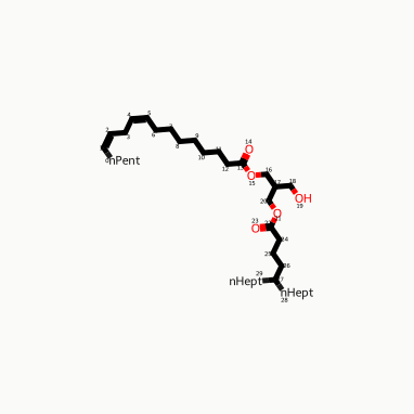 CCCCC/C=C\C/C=C\CCCCCCCC(=O)OCC(CO)COC(=O)CCCC(CCCCCCC)CCCCCCC